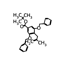 C=C(C)Cc1c(OCc2ccccc2)cc(C(=O)OC(C)(C)C)cc1OCc1ccccc1